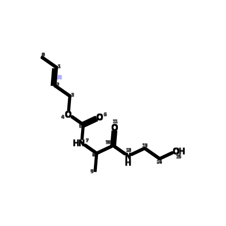 C/C=C/COC(=O)NC(C)C(=O)NCCO